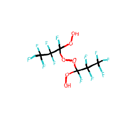 OOC(F)(OOC(F)(OO)C(F)(F)C(F)(F)F)C(F)(F)C(F)(F)F